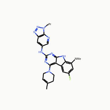 CNc1cc(F)cc2c1[nH]c1nc(Nc3cnc4c(c3)nnn4C(C)C)nc(N3CC=C(C)CC3)c12